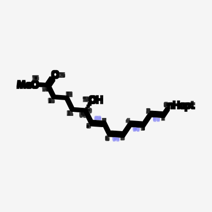 CCCCCCC/C=C/C=C/C=C\C=C\[C@@H](O)CCCC(=O)OC